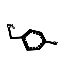 PCc1ccc(Br)cc1